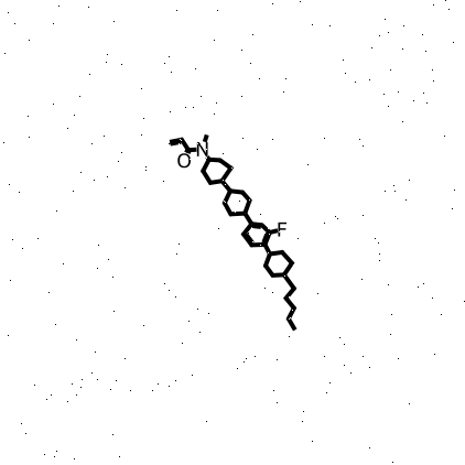 C=CC(=O)N(C)C1CCC(C2CCC(c3ccc(C4CCC(CCCCC)CC4)c(F)c3)CC2)CC1